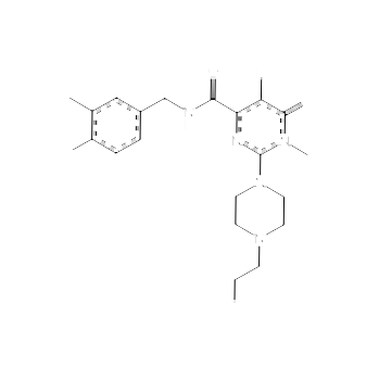 Cc1cc(CNC(=O)c2nc(N3CCN(CCO)CC3)n(C)c(=O)c2O)ccc1F